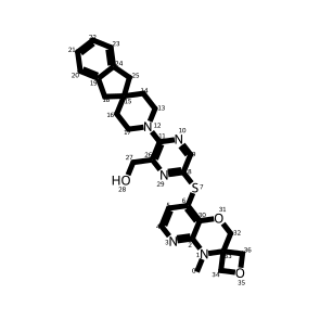 CN1c2nccc(Sc3cnc(N4CCC5(CC4)Cc4ccccc4C5)c(CO)n3)c2OCC12COC2